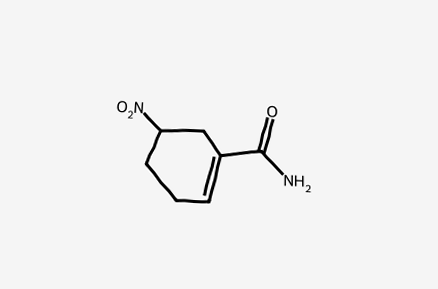 NC(=O)C1=CCCC([N+](=O)[O-])C1